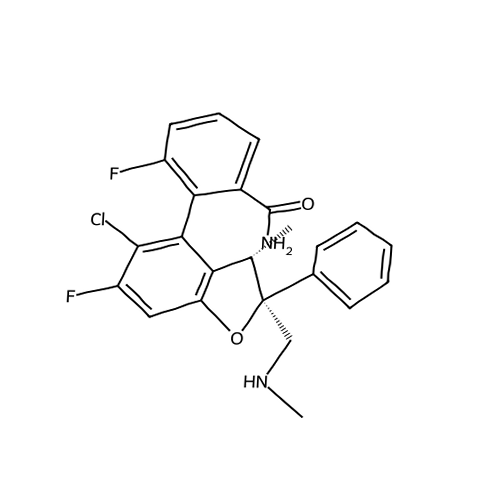 CNC[C@]1(c2ccccc2)Oc2cc(F)c(Cl)c(-c3c(F)cccc3C(N)=O)c2[C@@H]1C